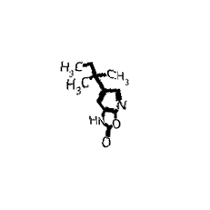 CCC(C)(C)c1cnc2oc(=O)[nH]c2c1